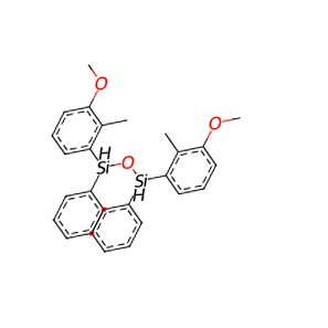 COc1cccc([SiH](O[SiH](c2ccccc2)c2cccc(OC)c2C)c2ccccc2)c1C